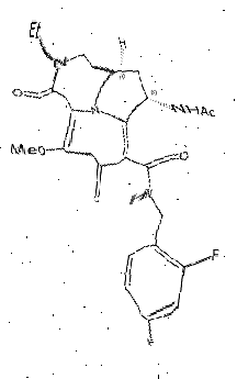 CCN1C[C@H]2C[C@H](NC(C)=O)c3c(C(=O)NCc4ccc(F)cc4F)c(=O)c(OC)c(n32)C1=O